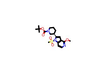 COc1nccc2c1cc([C@@H]1CCCN(C(=O)OC(C)(C)C)C1)n2S(C)(=O)=O